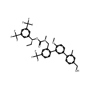 CC[C@H](OC(=O)N(C)Cc1cc(C(F)(F)F)ccc1-c1cc(-c2ccc(CO)cc2C)ccc1OC)c1cc(C(F)(F)F)cc(C(F)(F)F)c1